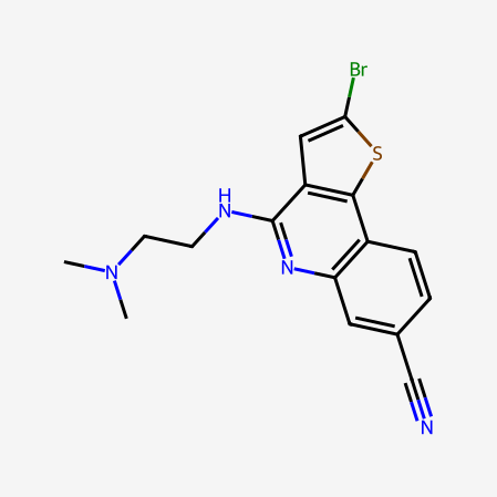 CN(C)CCNc1nc2cc(C#N)ccc2c2sc(Br)cc12